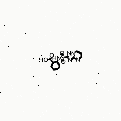 O=C(O)c1ccccc1NS(=O)(=O)c1nc2ncccn2n1